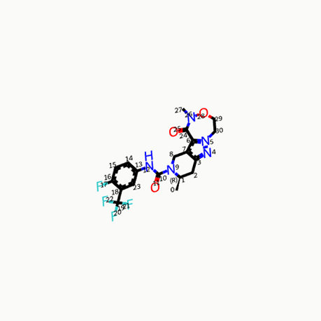 C[C@@H]1Cc2nn3c(c2CN1C(=O)Nc1ccc(F)c(C(F)(F)F)c1)C(=O)N(C)OCC3